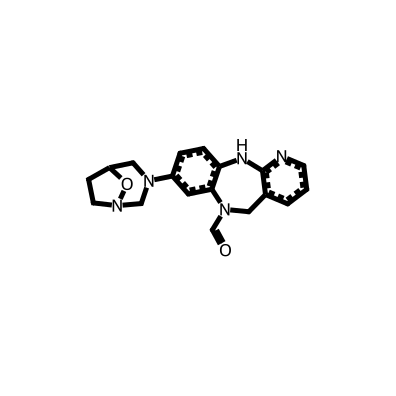 O=CN1Cc2cccnc2Nc2ccc(N3CC4CCN(C3)O4)cc21